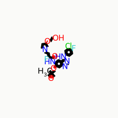 CC1(COc2cc3ncnc(Nc4ccc(F)c(Cl)c4)c3cc2NC(=O)/C(F)=C/CN2CC[C@@H](OCCO)C2)COC1